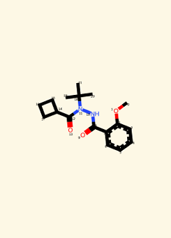 COc1ccccc1C(=O)NN(C(=O)C1CCC1)C(C)(C)C